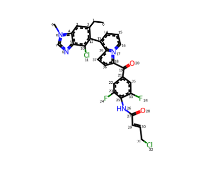 CCc1cc2c(ncn2C)c(Cl)c1-c1cccn2c(C(=O)c3cc(F)c(NC(=O)/C=C/CCl)c(F)c3)ccc12